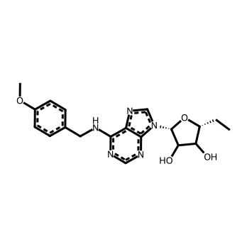 CC[C@H]1O[C@@H](n2cnc3c(NCc4ccc(OC)cc4)ncnc32)C(O)C1O